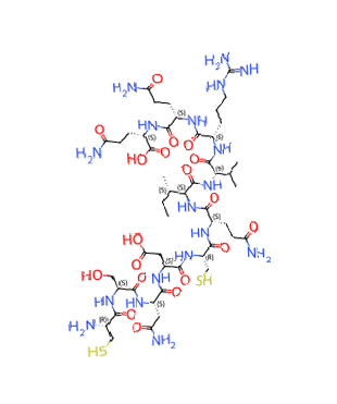 CC[C@H](C)[C@H](NC(=O)[C@H](CCC(N)=O)NC(=O)[C@H](CS)NC(=O)[C@H](CC(=O)O)NC(=O)[C@H](CC(N)=O)NC(=O)[C@H](CO)NC(=O)[C@@H](N)CS)C(=O)N[C@H](C(=O)N[C@@H](CCCNC(=N)N)C(=O)N[C@@H](CCC(N)=O)C(=O)N[C@@H](CCC(N)=O)C(=O)O)C(C)C